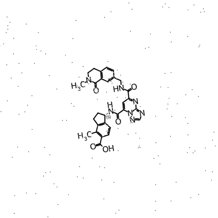 Cc1c(C(=O)O)ccc2c1CC[C@@H]2NC(=O)c1cc(C(=O)NCc2ccc3c(c2)C(=O)N(C)CC3)nc2ncnn12